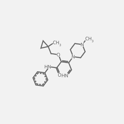 CN1CCN(/C(C=N)=C(\OCC2(C)CC2)C(=O)Nc2ccccc2)CC1